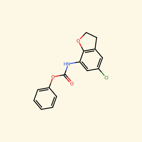 O=C(Nc1cc(Cl)cc2c1OCC2)Oc1ccccc1